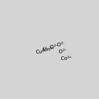 [Co+2].[Cu+2].[Mn+2].[O-2].[O-2].[O-2]